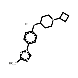 Cl.O=C(O)c1ncn(-c2ccc(OC3CCN(C4CCC4)CC3)cc2)n1